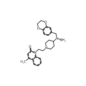 BN(Cc1ccc2c(c1)OCCO2)C1CCN(CCn2c(=O)cc(C)c3ccccc32)CC1